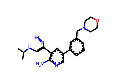 CC(C)N/C=C(\N=N)c1cc(-c2cccc(CN3CCOCC3)c2)cnc1N